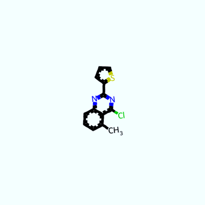 Cc1cccc2nc(-c3cccs3)nc(Cl)c12